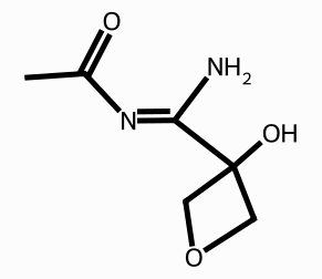 CC(=O)N=C(N)C1(O)COC1